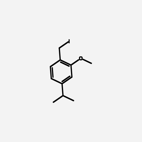 COc1cc(C(C)C)ccc1CI